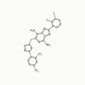 Nc1nn(Cc2cc(-c3ccc(C(F)(F)F)cc3C(F)(F)F)no2)c(N)c2nc(-c3cccc(F)c3F)nc1-2